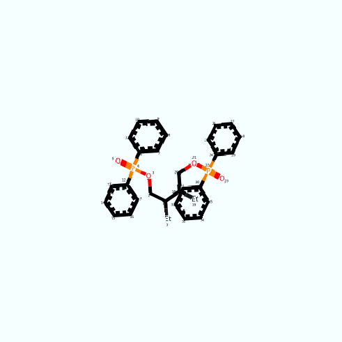 CCC(COP(=O)(c1ccccc1)c1ccccc1)C(CC)COP(=O)(c1ccccc1)c1ccccc1